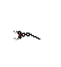 CCCCCCCCCC1CCC(C2CCC(c3ccc(N)cc3)(c3ccc(N)cc3)CC2)CC1